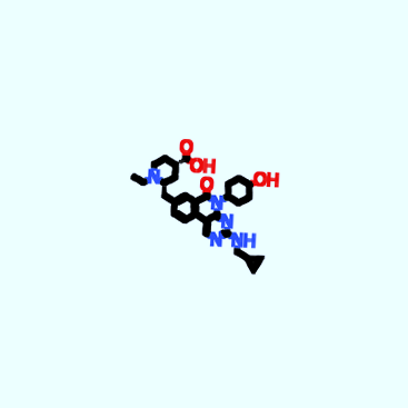 CCN1CC[C@H](C(=O)O)C[C@H]1Cc1ccc2c(c1)c(=O)n(C1CCC(O)CC1)c1nc(NCC3CC3)ncc21